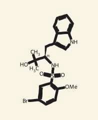 COc1ccc(Br)cc1S(=O)(=O)N[C@H](Cc1c[nH]c2ccccc12)C(C)(C)O